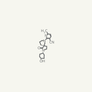 Cc1ccc(C#N)c(N2CCC[C@]3(CCN([C@H]4CC[C@H](O)CC4)C3=O)C2)n1